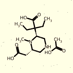 CC(=O)O.CCC(CC)(C(=O)O)[C@H]1CNC[C@H](CC(=O)O)N1C